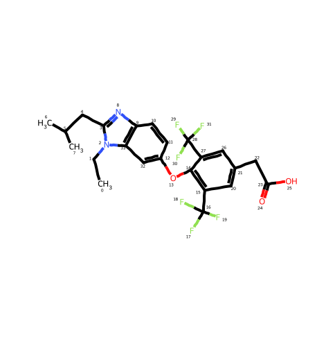 CCn1c(CC(C)C)nc2ccc(Oc3c(C(F)(F)F)cc(CC(=O)O)cc3C(F)(F)F)cc21